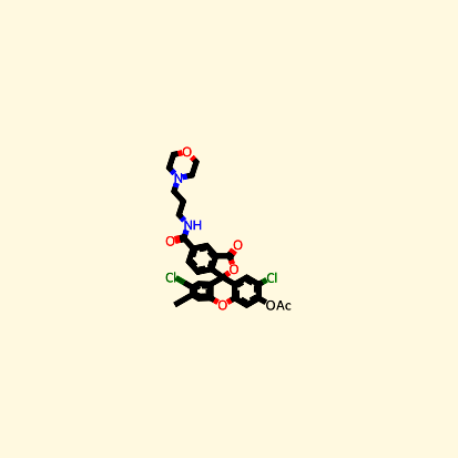 CC(=O)Oc1cc2c(cc1Cl)C1(OC(=O)c3cc(C(=O)NCCCN4CCOCC4)ccc31)c1cc(Cl)c(C)cc1O2